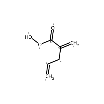 C=CCC(=C)C(=O)OO